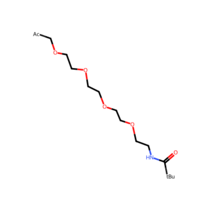 CC(=O)COCCOCCOCCOCCNC(=O)C(C)(C)C